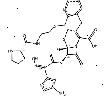 Nc1nc(/C(=N/O)C(=O)N[C@@H]2C(=O)N3C(C(=O)O)=C(Sc4cccnc4CSCCNC(=O)[C@@H]4CCCN4)CS[C@@H]23)ns1